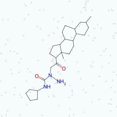 CC1CCC2C(CCC3C2CCC2(C)C(C(=O)CN(N)C(=O)NC4CCCC4)CCC32)C1